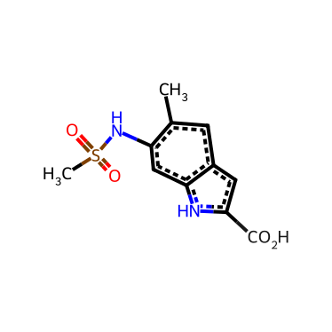 Cc1cc2cc(C(=O)O)[nH]c2cc1NS(C)(=O)=O